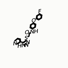 O=C(CSc1nn[nH]c1-c1cccnc1)Nc1ccc(Oc2cccc(F)c2)cc1